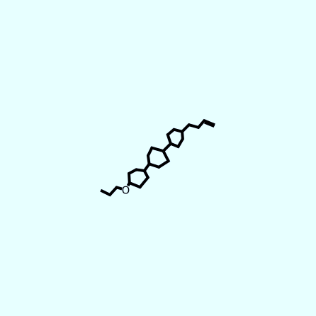 C=CCCC1CCC(C2CCC(C3CCC(OCCC)CC3)CC2)CC1